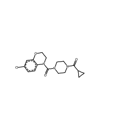 O=C(C1CC1)N1CCN(C(=O)N2CCOc3cc(Cl)ccc32)CC1